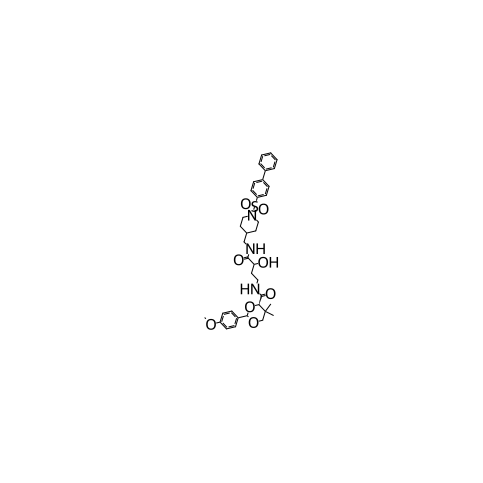 COc1ccc(C2OCC(C)(C)[C@H](C(=O)NCCC(O)C(=O)NCC3CCN(S(=O)(=O)c4ccc(-c5ccccc5)cc4)CC3)O2)cc1